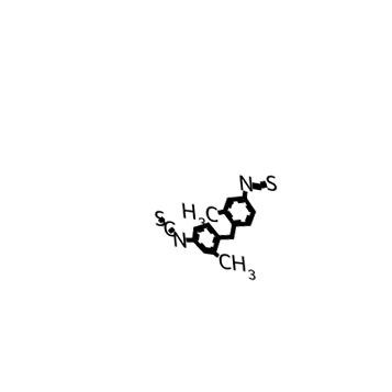 Cc1cc(N=C=S)ccc1Cc1ccc(N=C=S)cc1C